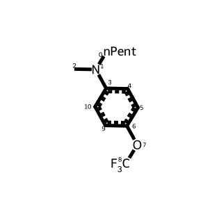 [CH2]CCCCN(C)c1ccc(OC(F)(F)F)cc1